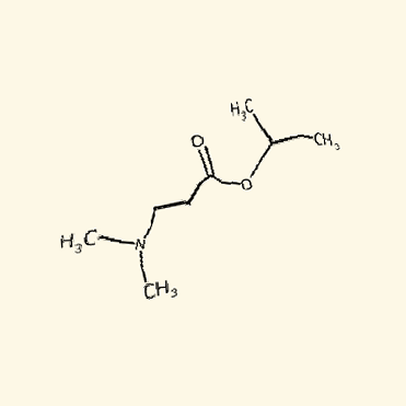 CC(C)OC(=O)CCN(C)C